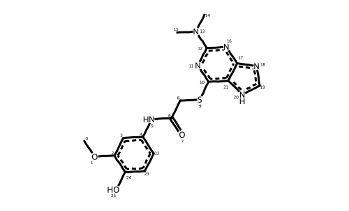 COc1cc(NC(=O)CSc2nc(N(C)C)nc3nc[nH]c23)ccc1O